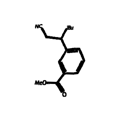 CCC(C)C(CC#N)c1cccc(C(=O)OC)c1